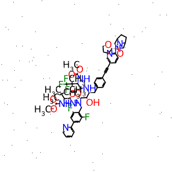 COC(=O)N[C@H](C(=O)NN(Cc1c(F)cc(-c2ccccn2)cc1F)C[C@H](O)[C@H](Cc1ccc(C#Cc2ccc(N3CC4CCC(C3)N4C(=O)[C@@H]3CCCO3)nc2)cc1)NC(=O)[C@@H](NC(=O)OC)C(C)(C)C(F)(F)F)C(C)(C)C